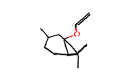 C=[C]OC12CC(C)CCC1C2(C)C